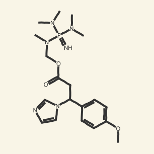 COc1ccc(C(CC(=O)OCN(C)P(=N)(N(C)C)N(C)C)n2ccnc2)cc1